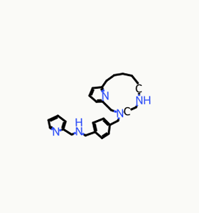 c1ccc(CNCc2ccc(CN3CCNCCCCCCc4cccc(n4)C3)cc2)nc1